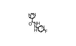 O=C(NNc1ccc(F)nc1)c1cncnc1